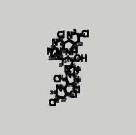 CC(C)[C@H](Nc1c(-c2ncc(Cl)cc2Cl)c(Cl)nc2ncnn12)C(O)c1nc2nc(Cl)c(-c3ncc(Cl)cc3Cl)c(Cl)n2n1